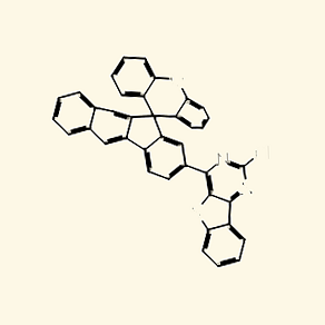 Clc1nc(-c2ccc3c(c2)C2(c4ccccc4Oc4ccccc42)c2cc4ccccc4cc2-3)c2sc3ccccc3c2n1